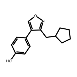 Oc1ccc(-c2conc2C[C]2CCCC2)cc1